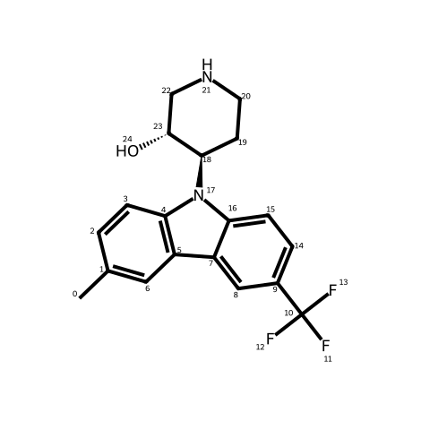 Cc1ccc2c(c1)c1cc(C(F)(F)F)ccc1n2[C@@H]1CCNC[C@H]1O